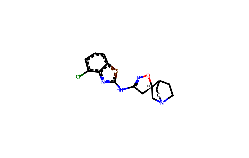 Clc1cccc2sc(NC3=NO[C@@]4(C3)CN3CCC4CC3)nc12